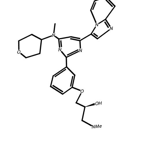 CNC[C@H](O)COc1cccc(-c2nc(-c3cnc4cnccn34)cc(N(C)C3CCOCC3)n2)c1